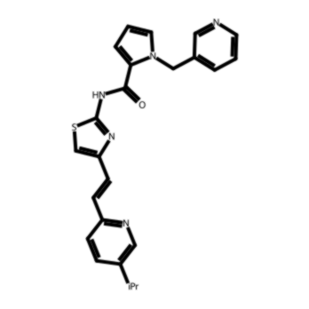 CC(C)c1ccc(/C=C/c2csc(NC(=O)c3cccn3Cc3cccnc3)n2)nc1